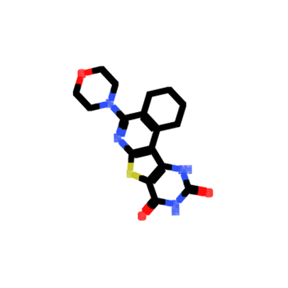 O=c1[nH]c(=O)c2sc3nc(N4CCOCC4)c4c(c3c2[nH]1)CCCC4